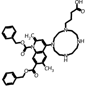 C=C1C=C(N2CCNCCNCCN(CCCC(=O)O)CC2)c2cc(C)c(C(=O)OCc3ccccc3)cc2N1C(=O)OCc1ccccc1